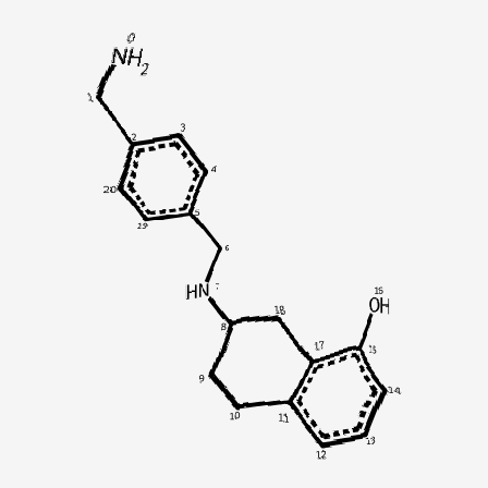 NCc1ccc(CNC2CCc3cccc(O)c3C2)cc1